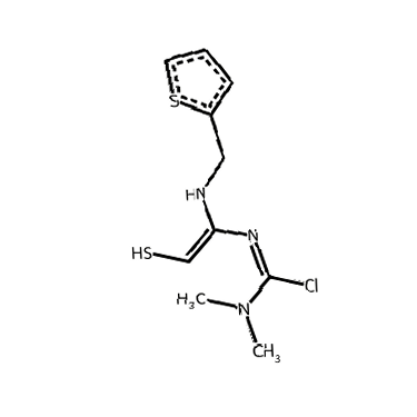 CN(C)/C(Cl)=N\C(=C\S)NCc1cccs1